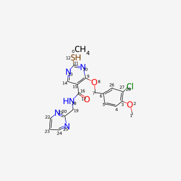 C.COc1ccc(COc2nc(S)ncc2C(=O)NCc2ncccn2)cc1Cl